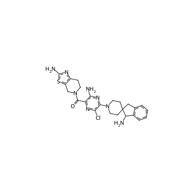 Nc1nc2c(s1)CN(C(=O)c1nc(Cl)c(N3CCC4(CC3)Cc3ccccc3C4N)nc1N)CC2